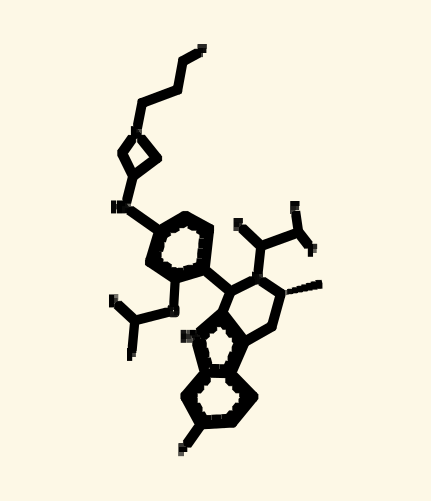 C[C@@H]1Cc2c([nH]c3cc(F)ccc23)C(c2ccc(NC3CN(CCCF)C3)cc2OC(F)F)N1C(F)C(F)F